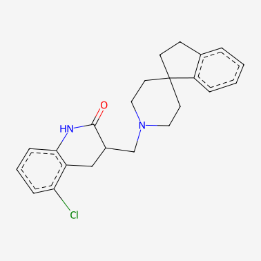 O=C1Nc2cccc(Cl)c2CC1CN1CCC2(CCc3ccccc32)CC1